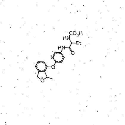 CCC(NC(=O)O)C(=O)Nc1ccc(Oc2cccc3c2C(C)OC3)nc1